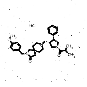 COc1ccc(CN2CC3(CCN(C[C@H]4CN(C(=O)C(C)C)C[C@@H]4c4ccccc4)CC3)CC2=O)cc1.Cl